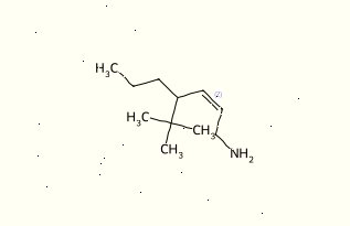 CCCC(/C=C\CN)C(C)(C)C